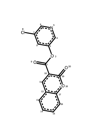 O=C(Oc1cncc(Cl)c1)c1cc2ccccc2oc1=O